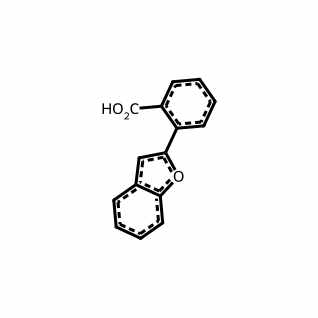 O=C(O)c1ccccc1-c1cc2ccccc2o1